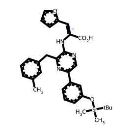 Cc1cccc(Cc2nc(-c3cccc(O[Si](C)(C)C(C)(C)C)c3)cnc2N/C(=C\c2ccco2)C(=O)O)c1